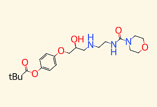 CC(C)(C)C(=O)Oc1ccc(OC[C@@H](O)CNCCNC(=O)N2CCOCC2)cc1